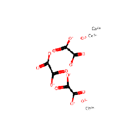 O=C([O-])C(=O)[O-].O=C([O-])C(=O)[O-].O=C([O-])C(=O)[O-].[Ce+3].[Ce+3].[Ce+4].[O-2].[O-2]